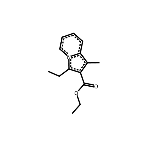 CCOC(=O)c1c(C)c2ccccn2c1CC